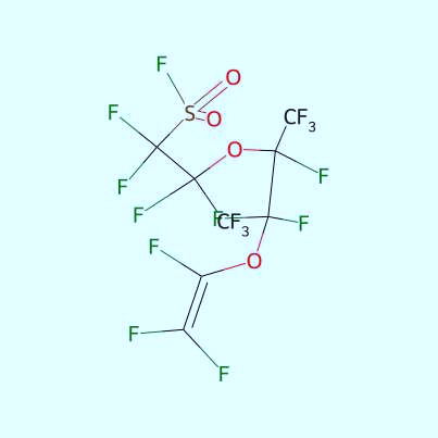 O=S(=O)(F)C(F)(F)C(F)(OC(F)(C(F)(F)F)C(F)(F)OC(F)=C(F)F)C(F)(F)F